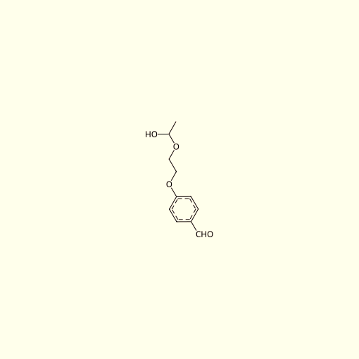 CC(O)OCCOc1ccc(C=O)cc1